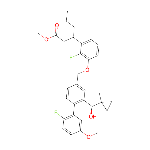 CCC[C@@H](CC(=O)OC)c1cccc(OCc2ccc(-c3cc(OC)ccc3F)c([C@H](O)C3(C)CC3)c2)c1F